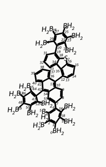 Bc1c(B)c(B)c(-c2ccc3c(-c4cccc5sc6c(-c7c(B)c(B)c(B)c(B)c7B)cccc6c45)c4ccccc4c(-c4c(B)c(B)c(B)c(B)c4B)c3c2)c(B)c1B